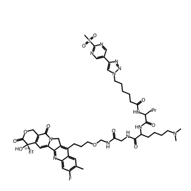 CC[C@@]1(O)C(=O)OCc2c1cc1n(c2=O)Cc2c-1nc1cc(F)c(C)cc1c2CCCOCNC(=O)CNC(=O)C(CCCCN(C)C)NC(=O)C(NC(=O)CCCCCn1cc(-c2cnc(S(C)(=O)=O)nc2)nn1)C(C)C